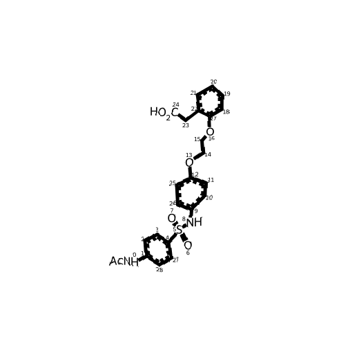 CC(=O)Nc1ccc(S(=O)(=O)Nc2ccc(OCCOc3ccccc3CC(=O)O)cc2)cc1